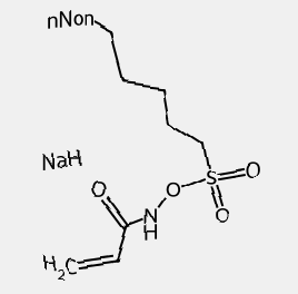 C=CC(=O)NOS(=O)(=O)CCCCCCCCCCCCCC.[NaH]